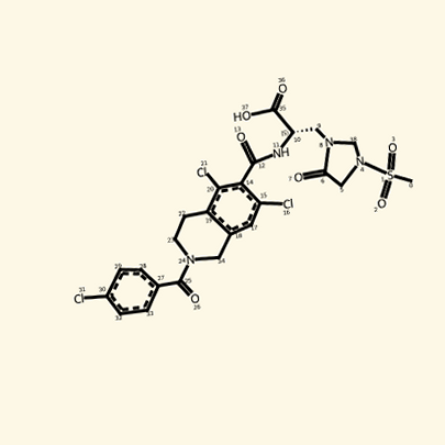 CS(=O)(=O)N1CC(=O)N(C[C@H](NC(=O)c2c(Cl)cc3c(c2Cl)CCN(C(=O)c2ccc(Cl)cc2)C3)C(=O)O)C1